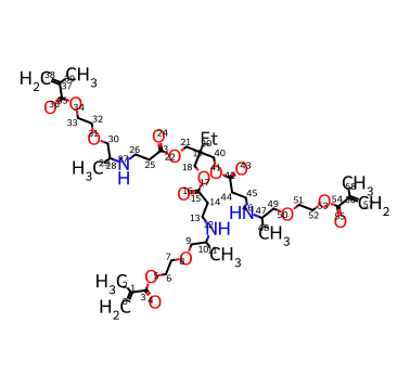 C=C(C)C(=O)OCCOCC(C)NCCC(=O)OCC(CC)(COC(=O)CCNC(C)COCCOC(=O)C(=C)C)COC(=O)CCNC(C)COCCOC(=O)C(=C)C